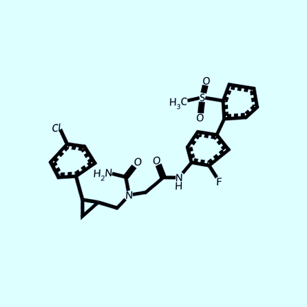 CS(=O)(=O)c1ccccc1-c1ccc(NC(=O)CN(CC2CC2c2ccc(Cl)cc2)C(N)=O)c(F)c1